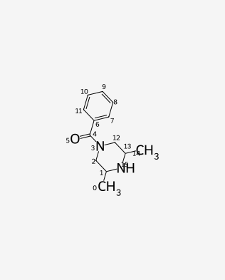 CC1CN(C(=O)c2ccccc2)CC(C)N1